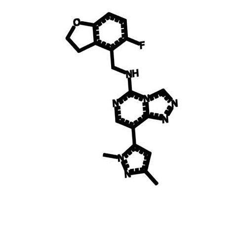 Cc1cc(-c2cnc(NCc3c(F)ccc4c3CCO4)n3cnnc23)n(C)n1